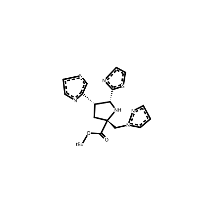 CC(C)(C)OC(=O)[C@]1(Cn2cccn2)C[C@H](c2cnccn2)[C@H](c2nccs2)N1